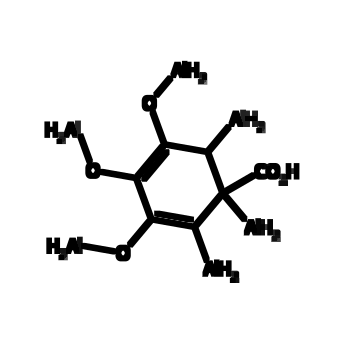 O=C(O)[C]1([AlH2])[C]([AlH2])=C([O][AlH2])C([O][AlH2])=C([O][AlH2])[CH]1[AlH2]